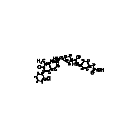 Cn1c(=O)c(-c2ccccc2Cl)cc2cnc(NC3C4CN(C(=O)Nc5ccc(CC(=O)O)cc5)CC43)nc21